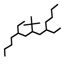 CCCCC(CC)C[C](CC(CC)CCCC)C(C)(C)C